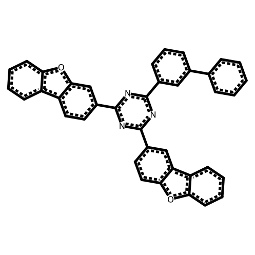 c1ccc(-c2cccc(-c3nc(-c4ccc5c(c4)oc4ccccc45)nc(-c4ccc5oc6ccccc6c5c4)n3)c2)cc1